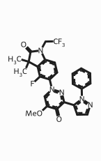 COc1cn(-c2ccc3c(c2F)C(C)(C)C(=O)N3CC(F)(F)F)nc(-c2ccnn2-c2ccccc2)c1=O